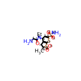 CCN(C(=O)CN)[C@H]1C=C(S(N)(=O)=O)SC2=C1C[C@H](C)S2(=O)=O